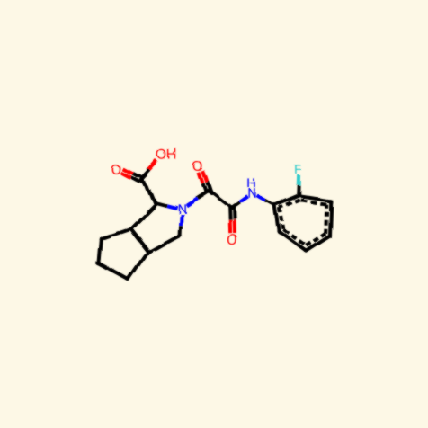 O=C(Nc1ccccc1F)C(=O)N1CC2CCCC2C1C(=O)O